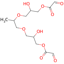 CC(COCC(O)COC(=O)C=O)OCC(O)COC(=O)C=O